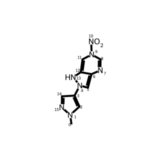 Cn1cc(N2C=C3N=CN([N+](=O)[O-])C=C3N2)cn1